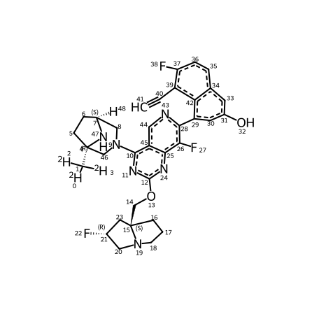 [2H]C([2H])([2H])[C@@]12CC[C@@H](CN(c3nc(OC[C@@]45CCCN4C[C@H](F)C5)nc4c(F)c(-c5cc(O)cc6ccc(F)c(C#C)c56)ncc34)C1)N2